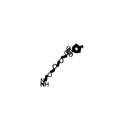 Cc1ccc(S(=O)(=O)OCCOCCOCCOCCN=N)cc1